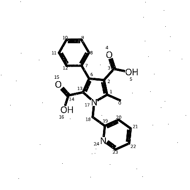 Cc1c(C(=O)O)c(-c2ccccc2)c(C(=O)O)n1Cc1ccccn1